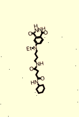 CCN(CCCCNC(=O)CCC(=O)NC1CCCCC1)c1ccc2c(=O)[nH][nH]c(=O)c2c1